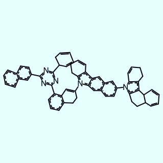 C1=CCC(c2nc(-c3ccc4ccccc4c3)nc(-c3cccc4c3C=C(n3c5c(c6cc7cc(-n8c9c(c%10c8CCC8C=CC=CC%108)CCC=C9)ccc7cc63)C=CCC5)CC4)n2)C=C1